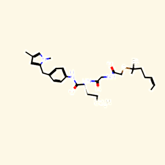 C/C=C\CCC(C)(CC)SCC(=O)NCC(=O)N[C@@H](CCC(=O)O)C(=O)Nc1ccc(Cc2cc(C)cn2C)cc1